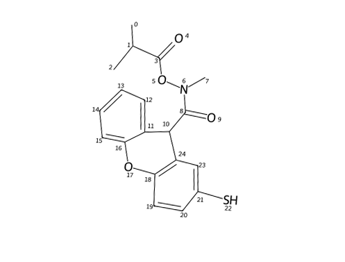 CC(C)C(=O)ON(C)C(=O)C1c2ccccc2Oc2ccc(S)cc21